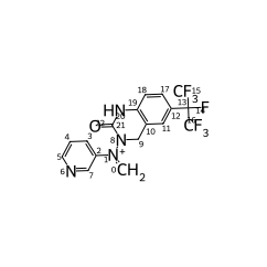 C=[N+](c1cccnc1)N1Cc2cc(C(F)(C(F)(F)F)C(F)(F)F)ccc2NC1=O